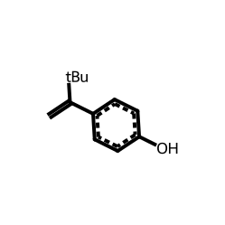 C=C(c1ccc(O)cc1)C(C)(C)C